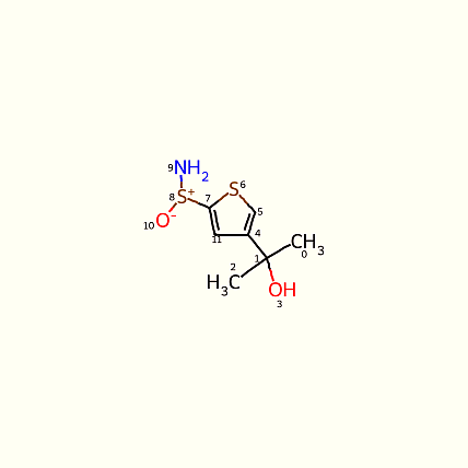 CC(C)(O)c1csc([S+](N)[O-])c1